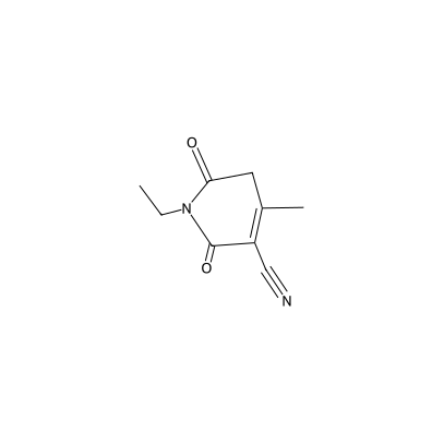 CCN1C(=O)CC(C)=C(C#N)C1=O